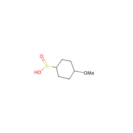 COC1CCC(S(=O)O)CC1